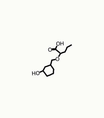 CCCC(OCC1CCCC(O)C1)C(=O)O